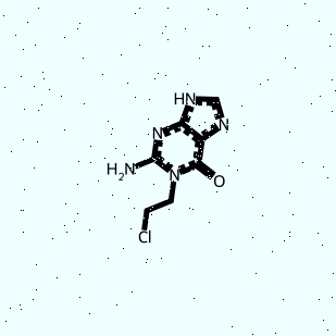 Nc1nc2[nH]cnc2c(=O)n1CCCl